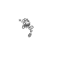 CC(C)(C)C1=CC(N)(NC(=O)C(=O)c2ccc(OCCN3CCOCC3)c3ccccc23)C([n+]2ccccc2)C=C1